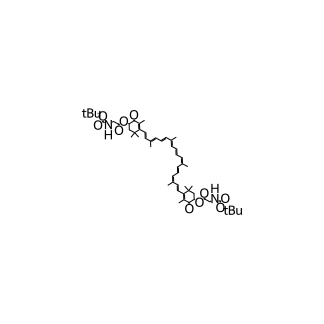 CC(C=CC=C(C)C=CC1=C(C)C(=O)C(OC(=O)CNC(=O)OC(C)(C)C)CC1(C)C)=CC=CC=C(C)C=CC=C(C)C=CC1=C(C)C(=O)C(OC(=O)CNC(=O)OC(C)(C)C)CC1(C)C